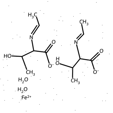 CC=NC(C(=O)[O-])C(C)O.CC=NC(C(=O)[O-])C(C)O.O.O.[Fe+2]